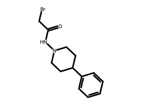 O=C(CBr)NN1CCC(c2ccccc2)CC1